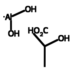 CC(O)C(=O)O.[OH][Al][OH]